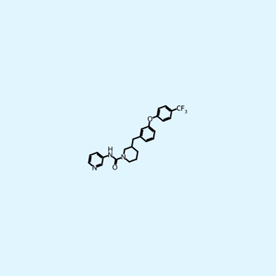 O=C(Nc1cccnc1)N1CCCC(Cc2cccc(Oc3ccc(C(F)(F)F)cc3)c2)C1